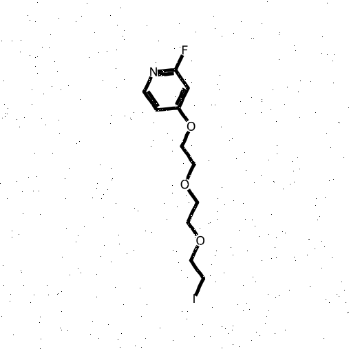 Fc1cc(OCCOCCOCCI)ccn1